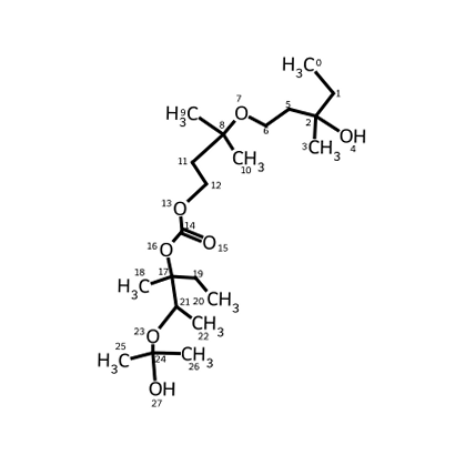 CCC(C)(O)CCOC(C)(C)CCOC(=O)OC(C)(CC)C(C)OC(C)(C)O